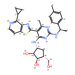 Cc1ccc([C@@H](C)Nc2nc(C)c(-c3nc4c(C5CC5)nccc4s3)c(N[C@@H]3C[C@H](CO)[C@@H](O)[C@H]3O)n2)cc1